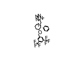 Cn1nnnc1CN1CCC[C@@H](OCc2cc(C(F)(F)F)cc(C(F)(F)F)c2)[C@H]1c1ccccc1